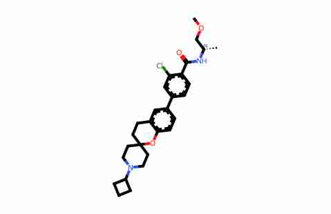 COC[C@H](C)NC(=O)c1ccc(-c2ccc3c(c2)CCC2(CCN(C4CCC4)CC2)O3)cc1Cl